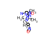 CC[C@H]1CN(C(C)c2ccc(CN3CCOCC3)cc2)[C@H](CC)CN1c1nc(=O)n(C)c2ccc(C#N)nc12